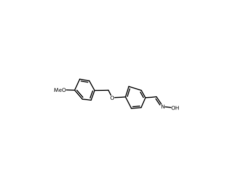 COc1ccc(COc2ccc(/C=N/O)cc2)cc1